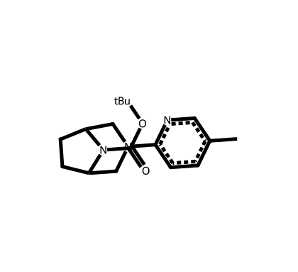 Cc1ccc(N2CC3CCC(C2)N3C(=O)OC(C)(C)C)nc1